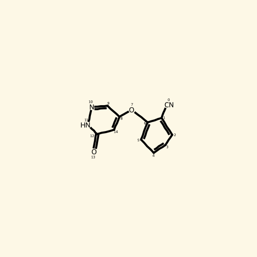 N#Cc1ccccc1Oc1cn[nH]c(=O)c1